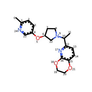 Cc1ccc(O[C@H]2CCN(C(C)c3ccc4c(n3)OCCO4)C2)cn1